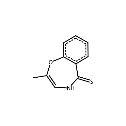 CC1=CNC(=S)c2ccccc2O1